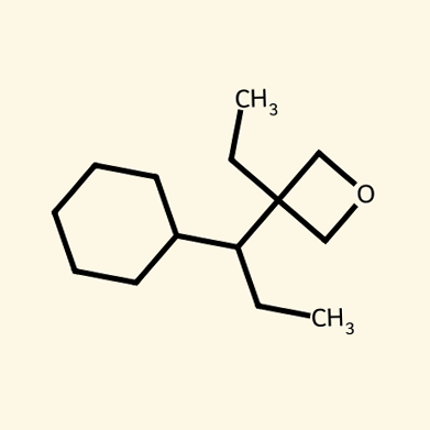 CCC(C1CCCCC1)C1(CC)COC1